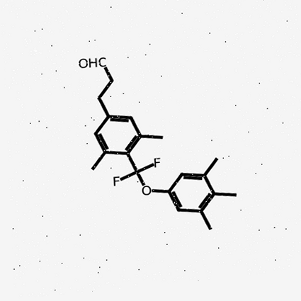 Cc1cc(OC(F)(F)c2c(C)cc(CCC=O)cc2C)cc(C)c1C